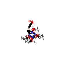 CC(C)(C)OC(=O)CN1CCN(CC(=O)OC(C)(C)C)CCN(CC(=O)OC(C)(C)C)C(Cc2ccc(SCCCCCCC(=O)O)cc2)CN(CC(=O)OC(C)(C)C)CC1